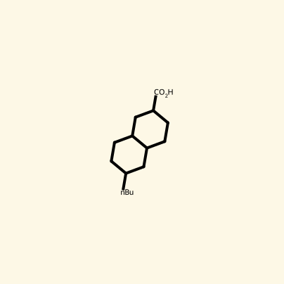 CCCCC1CCC2CC(C(=O)O)CCC2C1